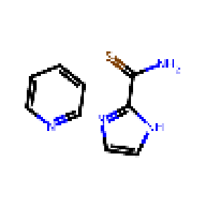 NC(=S)c1ncc[nH]1.c1ccncc1